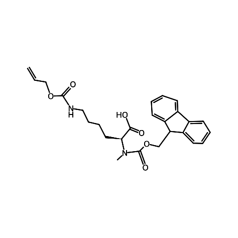 C=CCOC(=O)NCCCC[C@@H](C(=O)O)N(C)C(=O)OCC1c2ccccc2-c2ccccc21